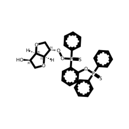 O[C@@H]1CO[C@H]2[C@@H]1OC[C@@H]2OOP(=S)(c1ccccc1)c1ccccc1OP(=S)(c1ccccc1)c1ccccc1